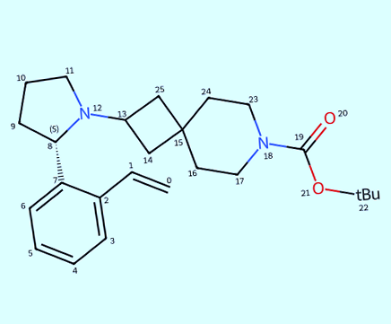 C=Cc1ccccc1[C@@H]1CCCN1C1CC2(CCN(C(=O)OC(C)(C)C)CC2)C1